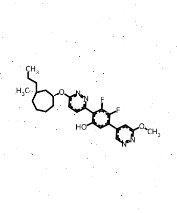 CCC[C@]1(C)CCCC[C@H](Oc2ccc(-c3c(O)cc(-c4cnnc(OC)c4)c(F)c3F)nn2)C1